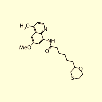 COc1cc(NC(=O)CCCCCC2CSCCO2)c2nccc(C)c2c1